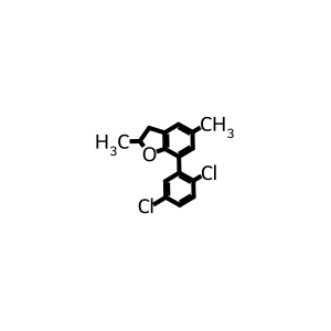 Cc1cc2c(c(-c3cc(Cl)ccc3Cl)c1)OC(C)C2